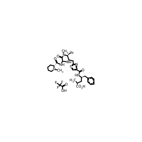 CCC(C)C(NC(=O)[C@H]1CCCCN1C)C(=O)N(C)[C@H](CCc1nc(C(=O)N[C@@H](Cc2ccccc2)C[C@H](C)C(=O)O)cs1)C(C)C.O=C(O)C(F)(F)F